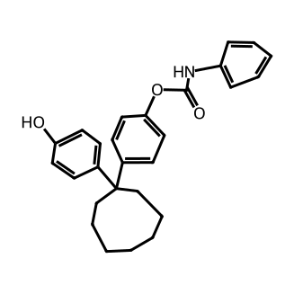 O=C(Nc1ccccc1)Oc1ccc(C2(c3ccc(O)cc3)CCCCCCC2)cc1